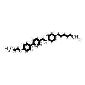 CCCCCC[C@H]1CC[C@H](CCc2ccc(-c3ccc(OCCC)cc3)nc2)CC1